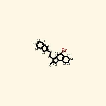 CC1=CC2C(=C1CCC1=Cc3ccccc3C1)C=C(Br)C1=C2CCCC1